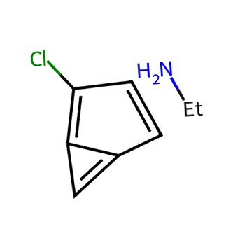 CCN.Clc1ccc2cc1-2